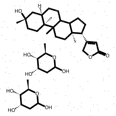 CC12CC[C@@]3(C)C(CC[C@@H]3C3=CC(=O)OC3)C1CC[C@@H]1C[C@@](C)(O)CC[C@@]12C.C[C@H]1OC(O)C[C@H](O)[C@@H]1O.C[C@H]1OC(O)C[C@H](O)[C@@H]1O